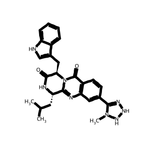 CC(C)C[C@@H]1NC(=O)[C@@H](Cc2c[nH]c3ccccc23)n2c1nc1cc(C3=NNNN3C)ccc1c2=O